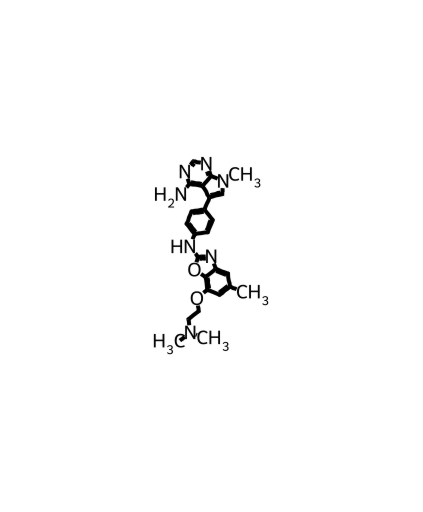 Cc1cc(OCCN(C)C)c2oc(Nc3ccc(-c4cn(C)c5ncnc(N)c45)cc3)nc2c1